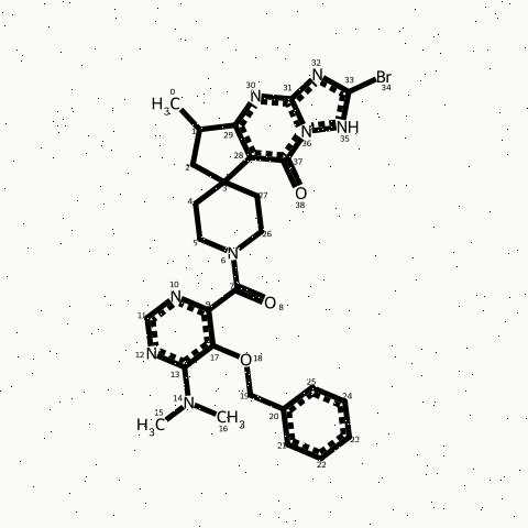 CC1CC2(CCN(C(=O)c3ncnc(N(C)C)c3OCc3ccccc3)CC2)c2c1nc1nc(Br)[nH]n1c2=O